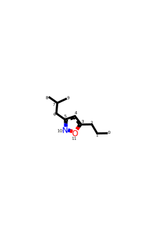 CCCc1cc(CC(C)C)no1